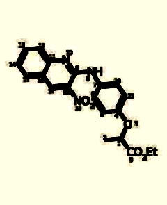 CCOC(=O)C(C)Oc1ccc(Nc2nc3ccccc3cc2[N+](=O)[O-])cc1